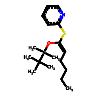 CCCCC=C(O[Si](C)(C)C(C)(C)C)Sc1ccccn1